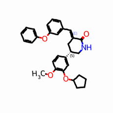 COc1ccc([C@H]2CNC(=O)/C(=C/c3cccc(Oc4ccccc4)c3)C2)cc1OC1CCCC1